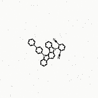 N#Cc1cccc(C#N)c1-n1c2ccccc2c2c1ccc1c3ccccc3n(-c3ccc(-c4ccccc4)cc3)c12